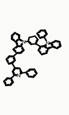 C1=C(c2cccc3c4ccccc4n(-c4ccccc4)c23)C=C(n2c3ccccc3c3cc(-c4cccc(-c5cc(-c6ccccc6)nc(-c6ccccc6)c5)c4)ccc32)CC1